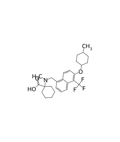 CC1CCC(Oc2ccc3c(CN(C)C4(C(=O)O)CCCCC4)cccc3c2C(F)(F)F)CC1